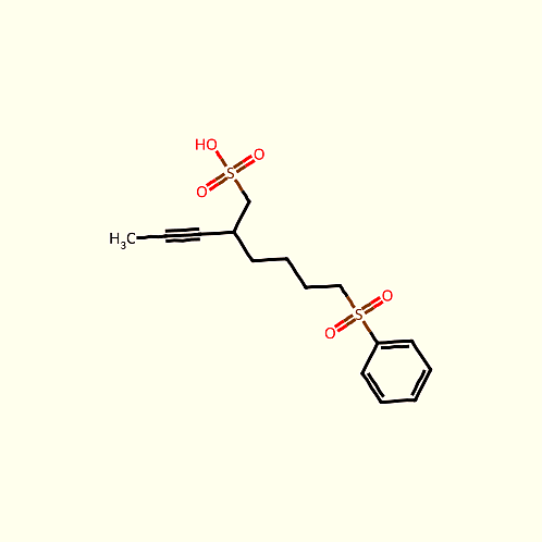 CC#CC(CCCCS(=O)(=O)c1ccccc1)CS(=O)(=O)O